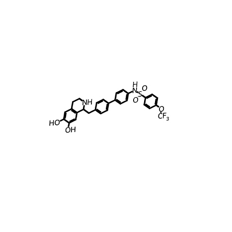 O=S(=O)(Nc1ccc(-c2ccc(CC3NCCc4cc(O)c(O)cc43)cc2)cc1)c1ccc(OC(F)(F)F)cc1